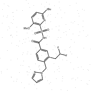 COc1ccc(C(C)(C)C)nc1S(=O)(=O)NC(=O)c1ccc(Cn2cccn2)c(CC(F)F)c1